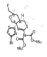 CC(C)(C)OC(=O)N(C(=O)OC(C)(C)C)C1=N[C@@]2(c3nc(Br)cs3)CO[C@@](C)(CF)C[C@H]2CS1